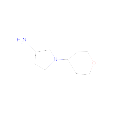 NC1CCN(C2CCOCC2)C1